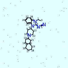 CCn1c(=NC#N)n(C2CCN(C3CCC4CCCCC4C3)CC2)c2ccccc21